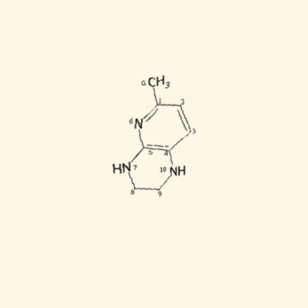 Cc1ccc2c(n1)NCCN2